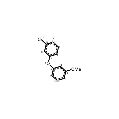 COc1cncc(Oc2ccnc(Cl)c2)c1